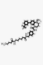 CCCCC(=O)NCCCCCC(=O)NCc1ccc(NC(=O)N2CCCN(C)c3ccc(-c4cccc(C(F)(F)F)c4)nc32)cc1